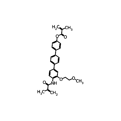 C=C(C)C(=O)Nc1ccc(-c2ccc(-c3ccc(OC(=O)C(=C)C)cc3)cc2)cc1OCCOC